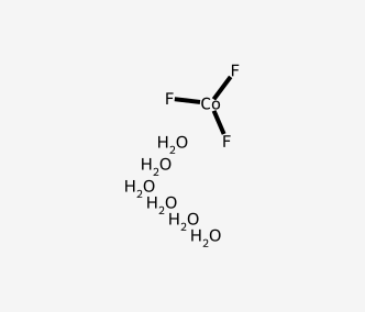 O.O.O.O.O.O.[F][Co]([F])[F]